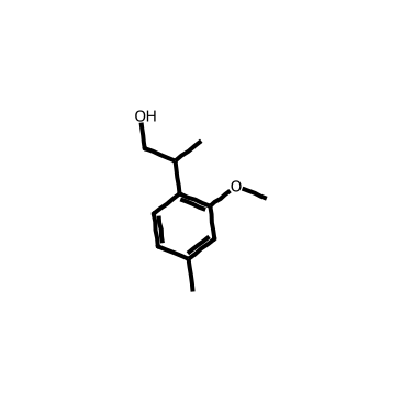 COc1cc(C)ccc1C(C)CO